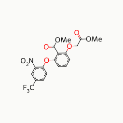 COC(=O)COc1cccc(Oc2ccc(C(F)(F)F)cc2[N+](=O)[O-])c1C(=O)OC